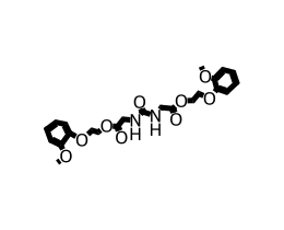 COc1ccccc1OCCOC(=O)CNC(=O)NCC(=O)OCCOc1ccccc1OC